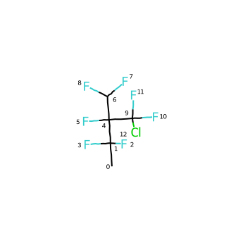 CC(F)(F)C(F)(C(F)F)C(F)(F)Cl